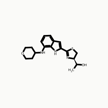 CC(O)[C@@H]1CSC(c2cc3cccc(NC4CCOCC4)c3[nH]2)=N1